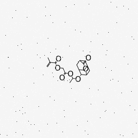 C=C(C)C(=O)OCC(=O)OC(C)OC1C2CC3CC(C2)C(=O)OC1C3